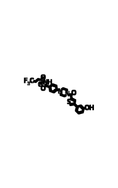 O=C(NS(=O)(=O)CCC(F)(F)F)c1ccc(N2CCN(C(=O)c3cc(-c4cccc(O)c4)cs3)CC2)cc1